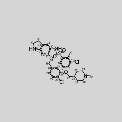 Cc1c(Cl)cccc1S(=O)(=O)Nc1cc2c(nc1OCc1ccc(Cl)c(OCC3CCN(C)CC3)c1)NCC2